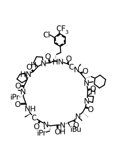 CC[C@H](C)[C@@H]1NC(=O)[C@H](CC(C)C)N(C)C(=O)C[C@@H](C)NC(=O)[C@H](C(C)C)N(C)C(=O)C2(CCCC2)NC(=O)[C@@H]2CCCN2C(=O)[C@H](CCc2ccc(C(F)(F)F)c(Cl)c2)NC(=O)CN(C)C(=O)[C@H](CC2CCCCC2)N(C)C(=O)[C@@H]2CCN2C(=O)[C@H](C)N(C)C1=O